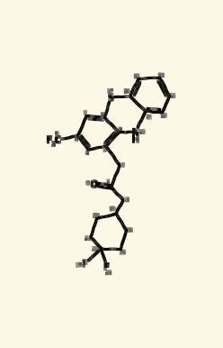 O=C(Cc1cc(C(F)(F)F)cc2c1Nc1ccccc1S2)CC1CCC(F)(F)CC1